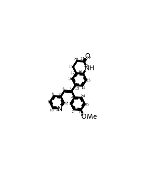 COc1ccc(C(=Cc2cccnc2)c2ccc3c(c2)CCC(=O)N3)cc1